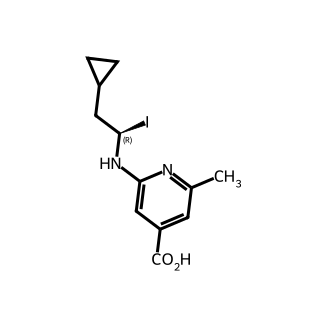 Cc1cc(C(=O)O)cc(N[C@H](I)CC2CC2)n1